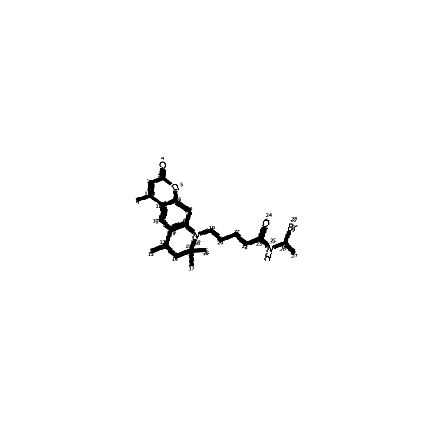 Cc1cc(=O)oc2cc3c(cc12)C(C)CC(C)(C)N3CCCCC(=O)NC(C)Br